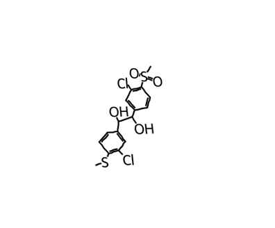 CSc1ccc(C(O)C(O)c2ccc(S(C)(=O)=O)c(Cl)c2)cc1Cl